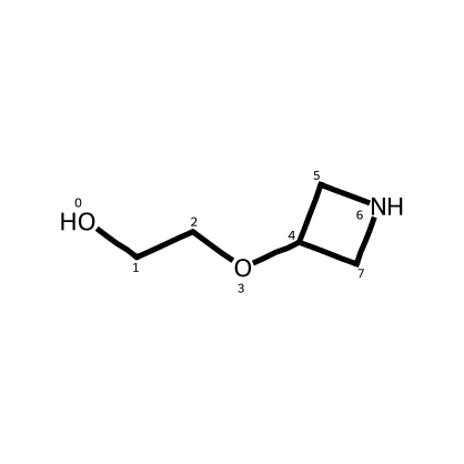 OCCOC1CNC1